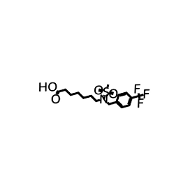 CS(=O)(=O)N(CCCCCCC(=O)O)Cc1ccc(C(F)(F)F)cc1